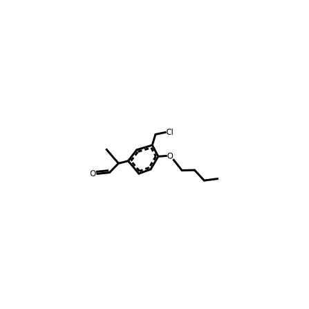 CCCCOc1ccc(C(C)C=O)cc1CCl